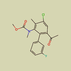 COC(=O)N(C)c1c(C)c(Cl)cc(C(C)=O)c1-c1cccc(F)c1